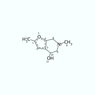 Cc1cc2c(o1)CN(C)CC2O